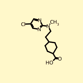 CN(CCC1CCC(C(=O)O)CC1)c1ncc(Cl)cn1